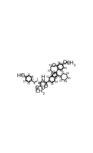 COC(=O)[C@H](CCc1ccc(O)cc1)NC(=O)c1ccc2c(C3CCCCC3)c3n(c2c1)CCOc1cc(OC)ccc1-3